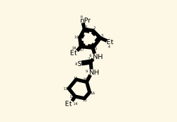 CCCc1cc(CC)c(NC(=S)NC2CCC(CC)CC2)c(CC)c1